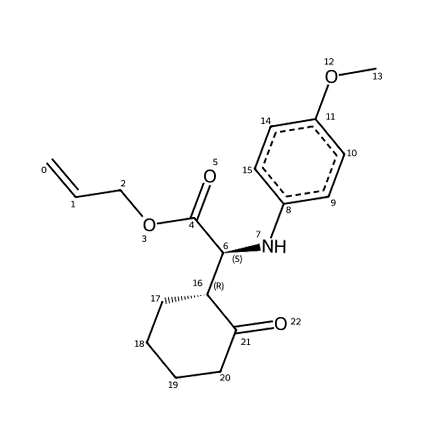 C=CCOC(=O)[C@@H](Nc1ccc(OC)cc1)[C@H]1CCCCC1=O